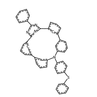 c1ccc(Sc2ccc(N3c4cccc(c4)-c4cccc(c4)-c4nc(-c5ccccc5)nc(n4)-c4cccc(c4)-c4cccc3c4)cc2)cc1